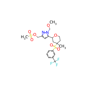 COCn1nc(COS(C)(=O)=O)cc1C1CC(C)(S(=O)(=O)c2cccc(C(F)(F)F)c2)CCO1